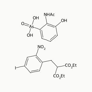 CC(=O)Nc1c(O)cccc1[As](=O)(O)O.CCOC(=O)C(Cc1ccc(I)cc1[N+](=O)[O-])C(=O)OCC